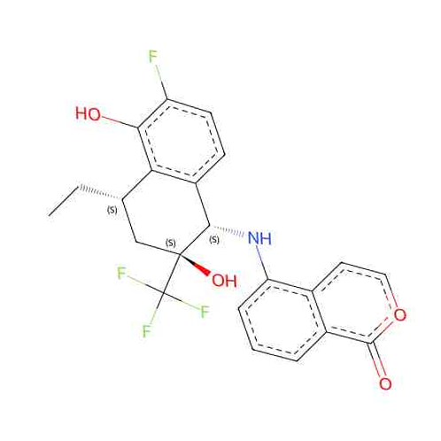 CC[C@H]1C[C@@](O)(C(F)(F)F)[C@@H](Nc2cccc3c(=O)occc23)c2ccc(F)c(O)c21